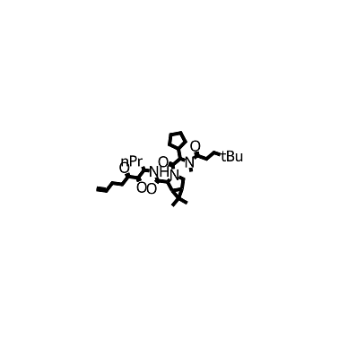 C=CCCC(=O)C(=O)C(CCC)NC(=O)C1C2C(CN1C(=O)C(C1CCCC1)N(C)C(=O)CCC(C)(C)C)C2(C)C